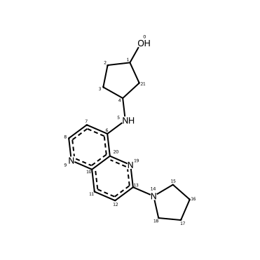 OC1CCC(Nc2ccnc3ccc(N4CCCC4)nc23)C1